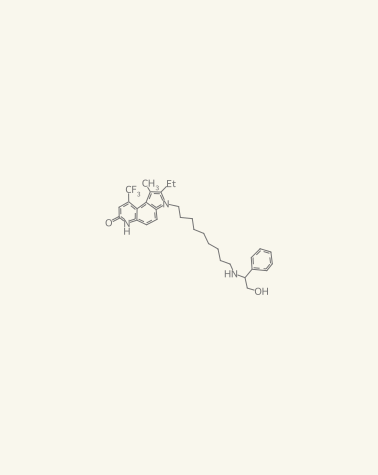 CCc1c(C)c2c3c(C(F)(F)F)cc(=O)[nH]c3ccc2n1CCCCCCCCCNC(CO)c1ccccc1